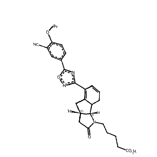 CC(C)Oc1ccc(-c2nc(C3=C4C[C@H]5CC(=O)N(CCCCC(=O)O)[C@H]5C4CC=C3)no2)cc1C#N